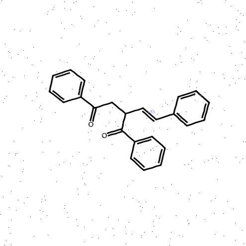 O=C(CC(/C=C/c1ccccc1)C(=O)c1ccccc1)c1ccccc1